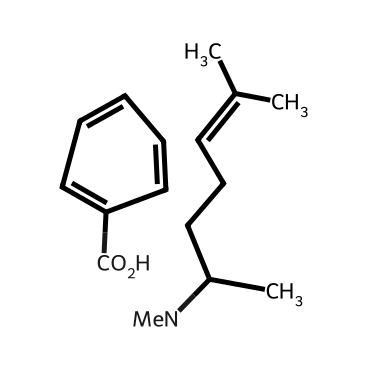 CNC(C)CCC=C(C)C.O=C(O)c1ccccc1